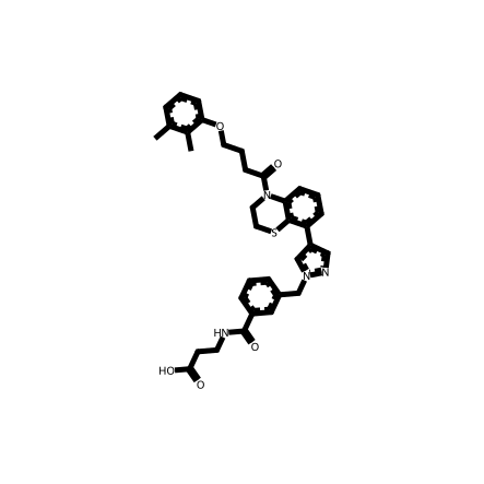 Cc1cccc(OCCCC(=O)N2CCSc3c(-c4cnn(Cc5cccc(C(=O)NCCC(=O)O)c5)c4)cccc32)c1C